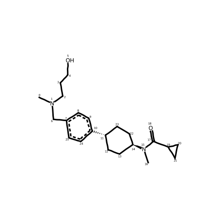 CN(CCCO)Cc1ccc([C@H]2CC[C@H](N(C)C(=O)C3CC3)CC2)cc1